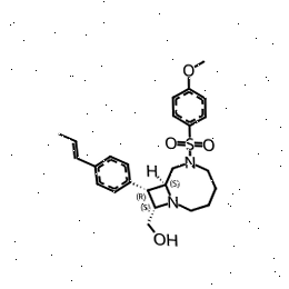 CC=Cc1ccc([C@H]2[C@@H](CO)N3CCCCN(S(=O)(=O)c4ccc(OC)cc4)C[C@H]23)cc1